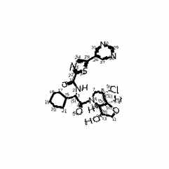 O=C(N[C@H](C(=O)N1C[C@H](Cl)[C@H]2OC[C@H](O)[C@H]21)C1CCCCC1)c1ncc(-c2cncnc2)s1